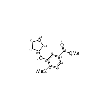 COC(=O)c1cnc(SC)c(OC2CCOC2)c1